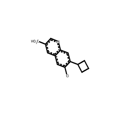 O=C(O)c1cnc2cc(C3CCC3)c(Cl)cc2c1